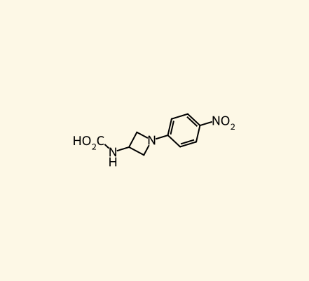 O=C(O)NC1CN(c2ccc([N+](=O)[O-])cc2)C1